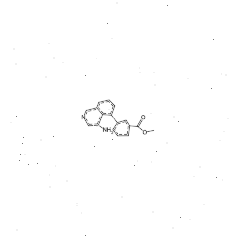 COC(=O)c1cccc(-c2cccc3cncc(N)c23)c1